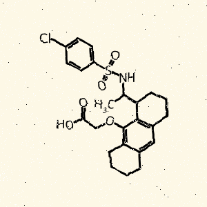 CC(NS(=O)(=O)c1ccc(Cl)cc1)C1CCCc2cc3c(c(OCC(=O)O)c21)CCCC3